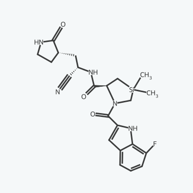 C[Si]1(C)C[C@H](C(=O)N[C@H](C#N)C[C@@H]2CCNC2=O)N(C(=O)c2cc3cccc(F)c3[nH]2)C1